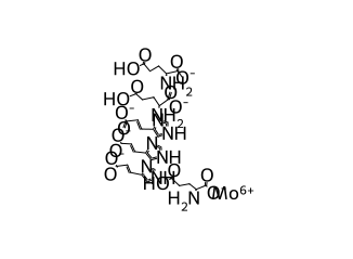 N[C@@H](CCC(=O)O)C(=O)[O-].N[C@@H](CCC(=O)O)C(=O)[O-].N[C@@H](CCC(=O)O)C(=O)[O-].O=C([O-])C=Cc1c[nH]cn1.O=C([O-])C=Cc1c[nH]cn1.O=C([O-])C=Cc1c[nH]cn1.[Mo+6]